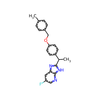 Cc1ccc(COc2ccc(C(C)c3nc4cc(F)cnc4[nH]3)cc2)cc1